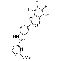 CNc1nccc(-c2cc3cc(C(=O)Oc4c(F)c(F)c(F)c(F)c4F)ccc3[nH]2)n1